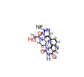 C[C@H](O)C(=O)N1CCC(n2c(=O)[nH]c(=O)c3cnc4ccc(-c5cnc(C#N)nc5)nc4c32)CC1